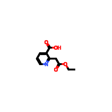 CCOC(=O)Cc1ncccc1C(=O)O